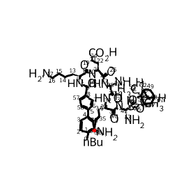 CCCCc1ccc(-c2ccc(C(=O)N[C@@H](CCCCN)C(=O)N[C@@H](CCC(=O)O)C(=O)N[C@@H](N)C(=O)N[C@@H](CCCCN)C(=O)N[C@@H](N)B3OC4C[C@@H]5C[C@@H](C5(C)C)[C@]4(C)O3)cc2)cc1